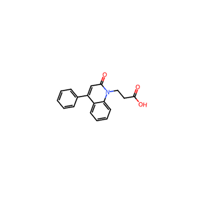 O=C(O)CCn1c(=O)cc(-c2ccccc2)c2ccccc21